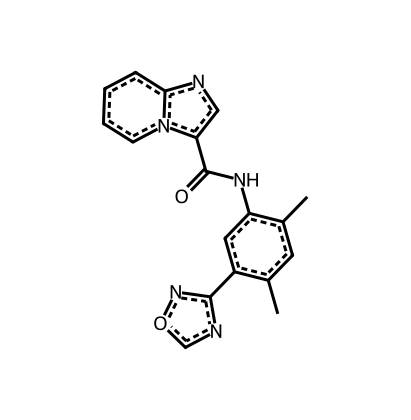 Cc1cc(C)c(-c2ncon2)cc1NC(=O)c1cnc2ccccn12